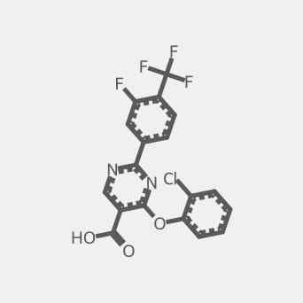 O=C(O)c1cnc(-c2ccc(C(F)(F)F)c(F)c2)nc1Oc1ccccc1Cl